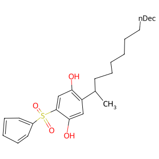 CCCCCCCCCCCCCCCCC(C)c1cc(O)c(S(=O)(=O)c2ccccc2)cc1O